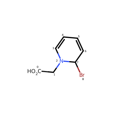 O=C(O)CN1C=CC=CC1Br